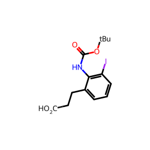 CC(C)(C)OC(=O)Nc1c(I)cccc1CCC(=O)O